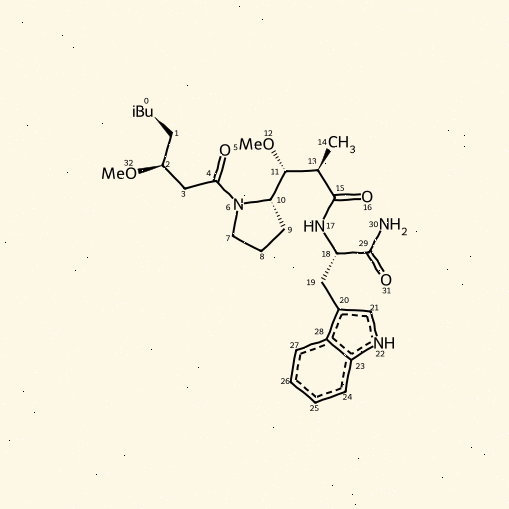 CC[C@H](C)C[C@@H](CC(=O)N1CCC[C@H]1[C@H](OC)[C@@H](C)C(=O)N[C@@H](Cc1c[nH]c2ccccc12)C(N)=O)OC